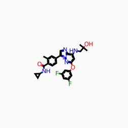 Cc1cc(-c2cnc3c(NCC(C)(C)O)cc(Oc4cc(F)cc(F)c4)nn23)ccc1C(=O)NC1CC1